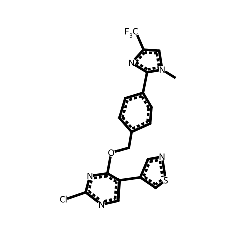 Cn1cc(C(F)(F)F)nc1-c1ccc(COc2nc(Cl)ncc2-c2cnsc2)cc1